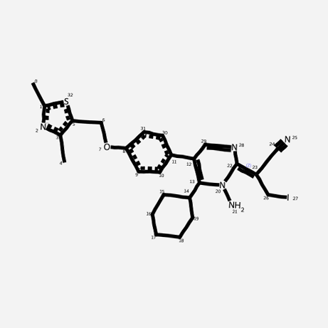 Cc1nc(C)c(COc2ccc(C3=C(C4CCCCC4)N(N)/C(=C(/C#N)CI)N=C3)cc2)s1